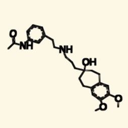 COc1cc2c(cc1OC)CCC(O)(CCCNCCc1cccc(NC(C)=O)c1)CC2